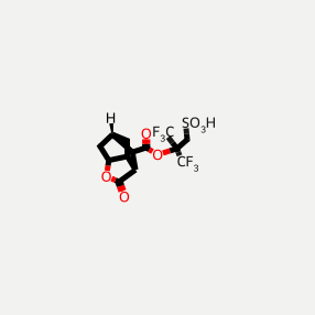 O=C1OC2C[C@@H]3CC2C1C3C(=O)OC(CS(=O)(=O)O)(C(F)(F)F)C(F)(F)F